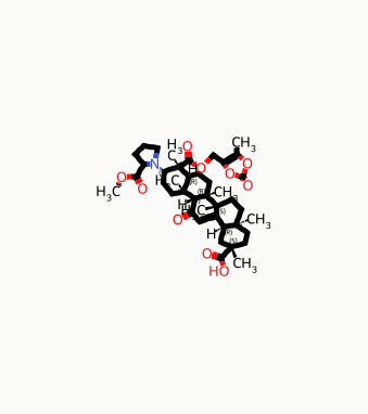 COC(=O)C1CCCN1[C@H]1CC[C@@]2(C)[C@@H](CC[C@]3(C)[C@@H]2C(=O)C=C2[C@@H]4C[C@@](C)(C(=O)O)CC[C@]4(C)CC[C@]23C)[C@]1(C)C(=O)OCc1oc(=O)oc1C